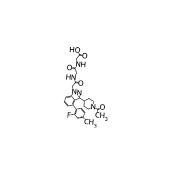 CC(=O)N1CCC(c2nn(CC(=O)NCC(=O)NCC(=O)O)c3cccc(-c4ccc(C)cc4F)c23)CC1